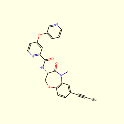 CN1C(=O)[C@@H](NC(=O)c2cc(Oc3cccnc3)ccn2)COc2ccc(C#CC(C)(C)C)cc21